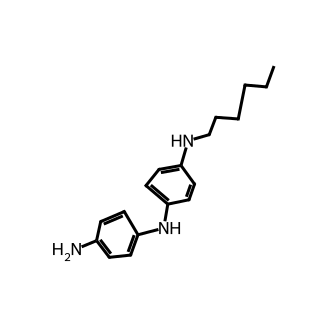 CCCCCCNc1ccc(Nc2ccc(N)cc2)cc1